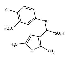 Cc1cc(C(Nc2ccc(Cl)c(C(=O)O)c2)S(=O)(=O)O)c(C)o1